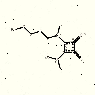 CCN(C)c1c(N(C)CCCCC(C)(C)C)c(=O)c1=S